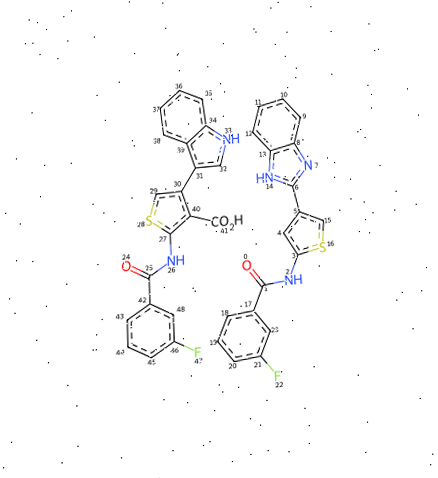 O=C(Nc1cc(-c2nc3ccccc3[nH]2)cs1)c1cccc(F)c1.O=C(Nc1scc(-c2c[nH]c3ccccc23)c1C(=O)O)c1cccc(F)c1